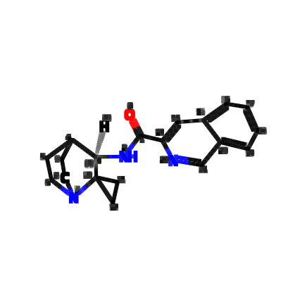 O=C(N[C@@H]1C2CCN(CC2)C12CC2)c1cc2ccccc2cn1